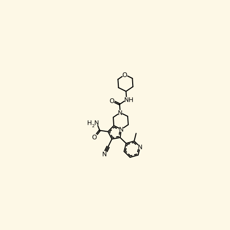 Cc1ncccc1-c1c(C#N)c(C(N)=O)c2n1CCN(C(=O)NC1CCOCC1)C2